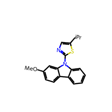 COc1ccc2c3ccccc3n(-c3ncc(C(C)C)s3)c2c1